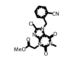 COC(=O)Cn1c(=O)n(C)c(=O)c2c1nc(Cl)n2Cc1ccccc1C#N